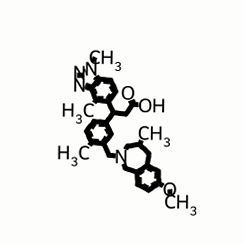 COc1ccc2c(c1)CC(C)CN(Cc1cc(C(CC(=O)O)c3ccc4c(nnn4C)c3C)ccc1C)C2